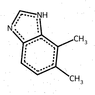 Cc1ccc2nc[nH]c2c1C